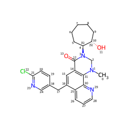 CN1CN([C@H]2CCCCC[C@@H]2O)C(=O)c2cc(Cc3ccc(Cl)nc3)c3cccnc3c21